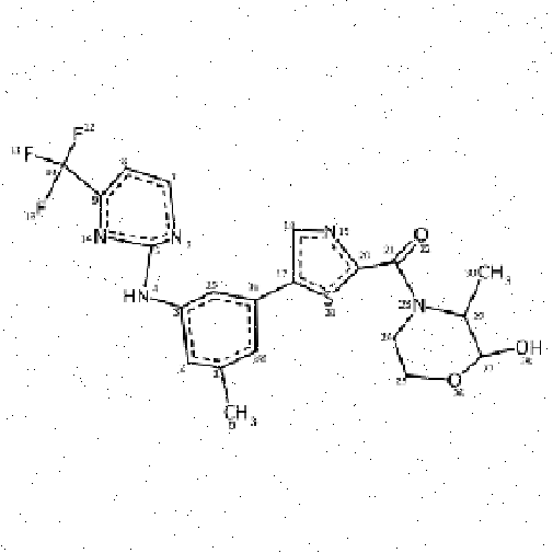 Cc1cc(Nc2nccc(C(F)(F)F)n2)cc(-c2cnc(C(=O)N3CCOC(O)C3C)s2)c1